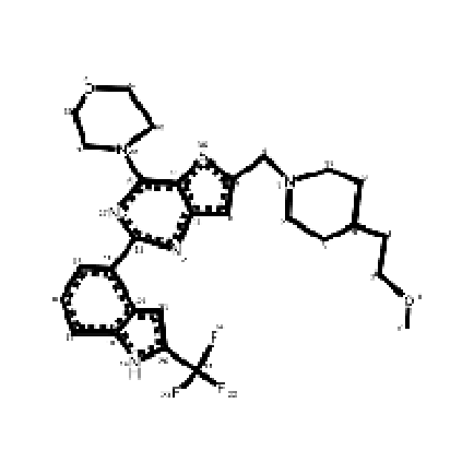 COCCC1CCN(Cc2cc3nc(-c4cccc5[nH]c(C(F)(F)F)cc45)nc(N4CCOCC4)c3s2)CC1